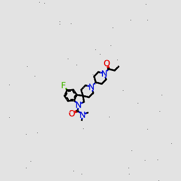 CCC(=O)N1CCC(N2CCC3(CC2)CN(C(=O)N(C)C)c2ccc(F)cc23)CC1